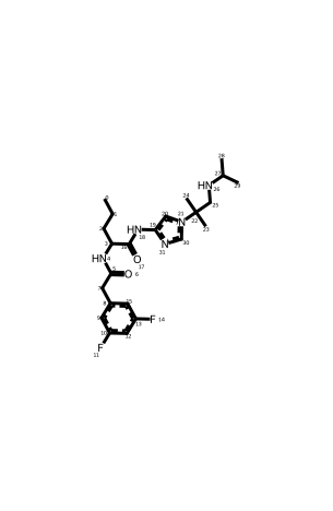 CCCC(NC(=O)Cc1cc(F)cc(F)c1)C(=O)Nc1cn(C(C)(C)CNC(C)C)cn1